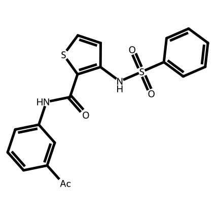 CC(=O)c1cccc(NC(=O)c2sccc2NS(=O)(=O)c2ccccc2)c1